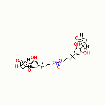 CC(C)(CCCO[N+](=O)OCCCC(C)(C)c1cc(O)c([C@@H]2CC(=O)[C@@H]3C[C@@H]2C3(C)C)c(O)c1)c1cc(O)c([C@@H]2CC(=O)[C@@H]3C[C@@H]2C3(C)C)c(O)c1